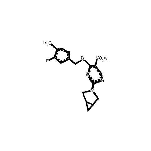 CCOC(=O)c1cnc(N2CC3CC3C2)nc1NCc1ccc(C)c(F)c1